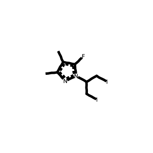 Cc1nn(C(CI)CI)c(F)c1C